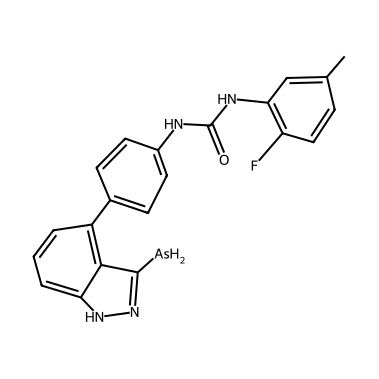 Cc1ccc(F)c(NC(=O)Nc2ccc(-c3cccc4[nH]nc([AsH2])c34)cc2)c1